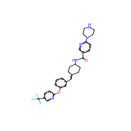 O=C(NC1CCC(=Cc2cccc(Oc3ccc(C(F)(F)F)cn3)c2)CC1)c1ccc(N2CCNCC2)nc1